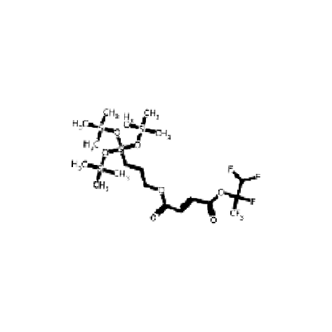 C[Si](C)(C)O[Si](CCCOC(=O)C=CC(=O)OC(F)(C(F)F)C(F)(F)F)(O[Si](C)(C)C)O[Si](C)(C)C